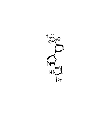 CC(C)c1cnc(-c2cc(-c3cncc(S(C)(=O)=O)c3)ccn2)[nH]1